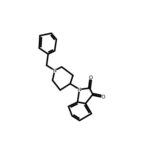 O=C1C(=O)N(C2CCN(Cc3ccccc3)CC2)c2ccccc21